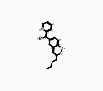 CCOCC1C=C2CC(C(O)c3ccccn3)=CC=C2OO1